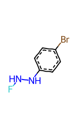 FNNc1ccc(Br)cc1